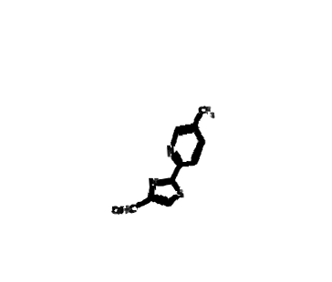 O=Cc1csc(-c2ccc(C(F)(F)F)cn2)n1